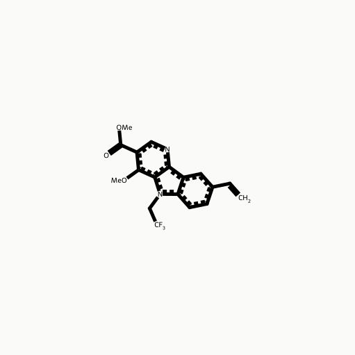 C=Cc1ccc2c(c1)c1ncc(C(=O)OC)c(OC)c1n2CC(F)(F)F